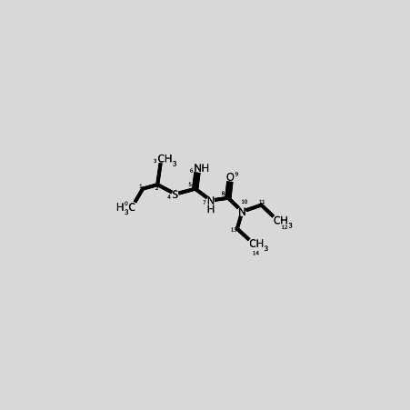 CCC(C)SC(=N)NC(=O)N(CC)CC